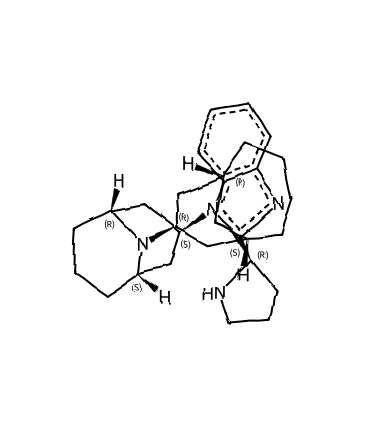 c1ccc2c(c1)nc([C@H]1CCCN1)n2[C@@H]1C[C@H]2CCC[C@@H](C1)N2[C@H]1C[C@@H]2CCCC[C@@H](C2)C1